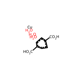 O.O.O.O=C(O)c1ccc(C(=O)O)cc1.[Cu]